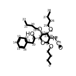 CCCCOC1O[C@H](C(O)Cc2ccccc2)[C@@H](OCCCC)[C@H](OCCCC)[C@H]1N=C=O